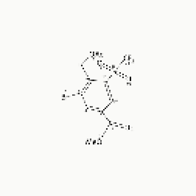 COC(=O)c1cc(Br)c(COC(C)=O)c(S(=O)(=O)C(F)(F)F)c1